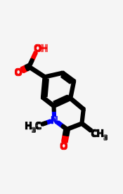 CC1Cc2ccc(C(=O)O)cc2N(C)C1=O